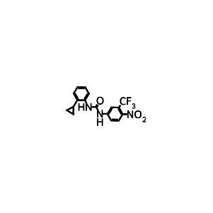 O=C(Nc1ccc([N+](=O)[O-])c(C(F)(F)F)c1)Nc1ccccc1C1CC1